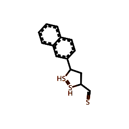 S=CC1CC(c2ccc3ccccc3c2)[SH]=[SH]1